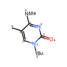 CNc1nc(=O)n(C(C)(C)C)cc1C